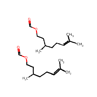 CC(C)=CCCC(C)CCOC=O.CC(C)=CCCC(C)CCOC=O